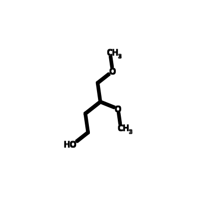 COCC(CCO)OC